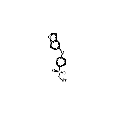 CCCNS(=O)(=O)c1ccc(Oc2ccc3occc3c2)cc1